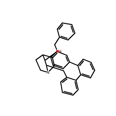 c1ccc(CNC2C3CCN(CC3)C2Cc2ccccc2-c2ccccc2-c2ccccc2)cc1